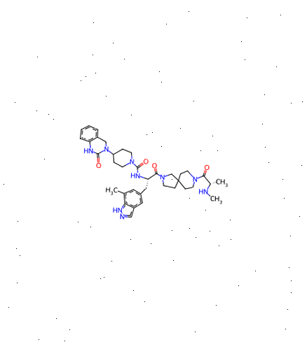 CN[C@@H](C)C(=O)N1CCC2(CC1)CCN(C(=O)[C@H](Cc1cc(C)c3[nH]ncc3c1)NC(=O)N1CCC(N3Cc4ccccc4NC3=O)CC1)C2